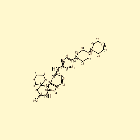 O=C1CC2(CCCCC2)n2c(cc3cnc(Nc4ccc(N5CCC(N6CCOCC6)CC5)cn4)nc32)N1